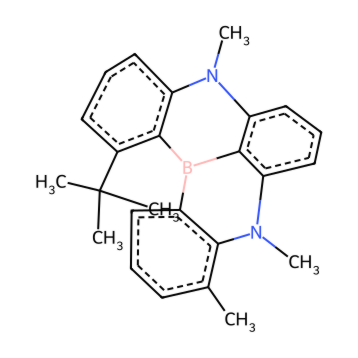 Cc1cccc2c1N(C)c1cccc3c1B2c1c(cccc1C(C)(C)C)N3C